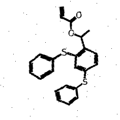 C=CC(=O)OC(C)c1ccc(Sc2ccccc2)cc1Sc1ccccc1